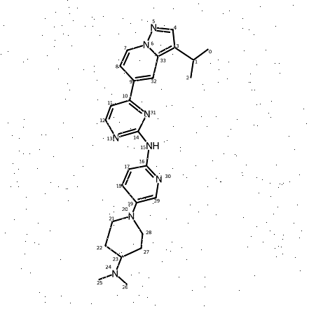 CC(C)c1cnn2ccc(-c3ccnc(Nc4ccc(N5CCC(N(C)C)CC5)cn4)n3)cc12